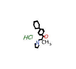 CC(CN1CCCC1)C(=O)c1ccc(C2CCCCC2)cc1.Cl